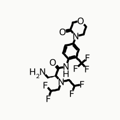 NC[C@@H](C(=O)Nc1ccc(N2CCOCC2=O)cc1C(F)(F)F)N(CC(F)F)CC(F)F